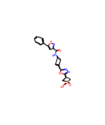 O=C(NC1CC(c2nnc(C3CS(=O)(=O)C3)o2)C1)c1cc(-c2ccccc2)on1